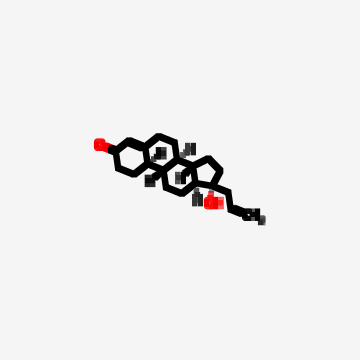 C=CC[C@]1(O)CC[C@H]2[C@@H]3CCC4=CC(=O)CC[C@@H]4[C@H]3CC[C@@H]21